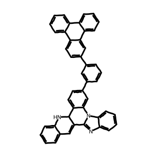 C1=C2c3nc4ccccc4n3-c3cc(-c4cccc(-c5ccc6c7ccccc7c7ccccc7c6c5)c4)ccc3C2Nc2ccccc21